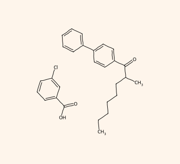 CCCCCCC(C)C(=O)c1ccc(-c2ccccc2)cc1.O=C(O)c1cccc(Cl)c1